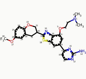 CN(C)CCOc1cc(-c2ccnc(N)n2)cc2sc(C3COc4ccc(OC(F)(F)F)cc4C3)nc12